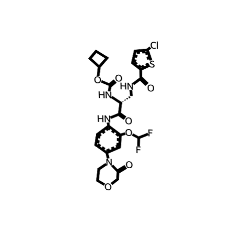 O=C(N[C@H](CNC(=O)c1ccc(Cl)s1)C(=O)Nc1ccc(N2CCOCC2=O)cc1OC(F)F)OC1CCC1